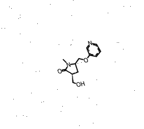 CN1C(=O)[C@H](CO)CC1COc1cccnc1